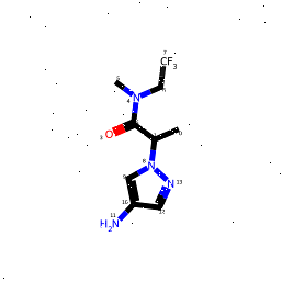 CC(C(=O)N(C)CC(F)(F)F)n1cc(N)cn1